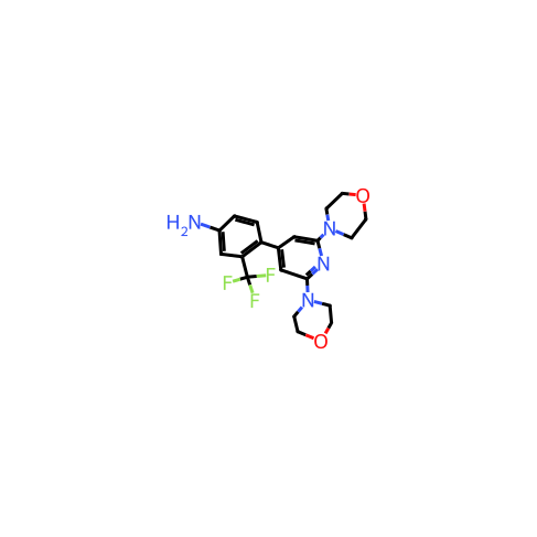 Nc1ccc(-c2cc(N3CCOCC3)nc(N3CCOCC3)c2)c(C(F)(F)F)c1